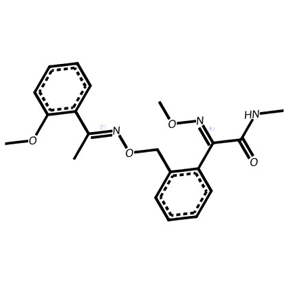 CNC(=O)/C(=N/OC)c1ccccc1CO/N=C(\C)c1ccccc1OC